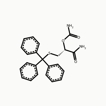 NC(=O)O[C@@H](CSC(c1ccccc1)(c1ccccc1)c1ccccc1)C(N)=O